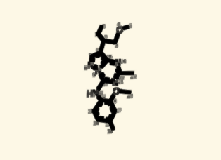 CCC(COC)c1cnn2c(Nc3ccc(C)cc3OC)nc(C)nc12